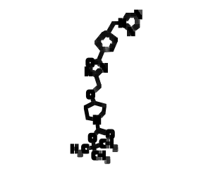 CC(C)(C)OC(=O)N1CCC(OCc2noc(-c3ccc(Cn4cncn4)cc3)n2)CC1